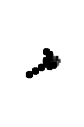 CC1(C)c2ccc3ccccc3c2-c2ccc3c(c21)c1c2ccccc2ccc1n3-c1ccc(-c2ccc(-c3ccccc3)cc2)cc1